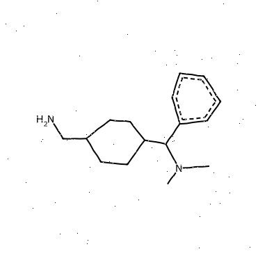 CN(C)C(c1ccccc1)C1CCC(CN)CC1